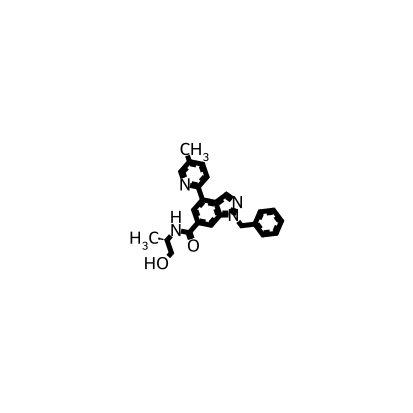 Cc1ccc(-c2cc(C(=O)N[C@@H](C)CO)cc3c2cnn3Cc2ccccc2)nc1